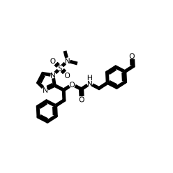 CN(C)S(=O)(=O)n1ccnc1C(Cc1ccccc1)OC(=O)NCc1ccc(C=O)cc1